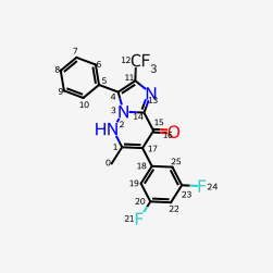 Cc1[nH]n2c(-c3ccccc3)c(C(F)(F)F)nc2c(=O)c1-c1cc(F)cc(F)c1